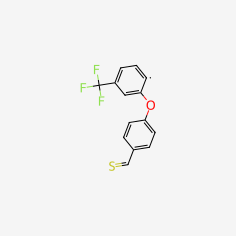 FC(F)(F)c1cc[c]c(Oc2ccc(C=S)cc2)c1